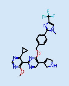 COc1ncnc(C2CC2)c1-c1ncc(C2=CCNC2)c(OCc2ccc(-c3nc(C(F)(F)F)cn3C)cc2)n1